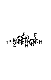 CCCS(=O)(=O)Nc1ccc(F)c(C(=O)Nc2cnc3[nH]cc(F)c3c2)c1F